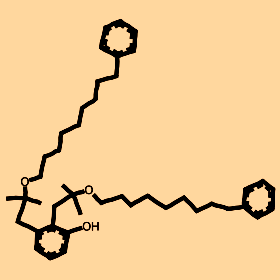 CC(C)(Cc1cccc(O)c1CC(C)(C)OCCCCCCCCCc1ccccc1)OCCCCCCCCCc1ccccc1